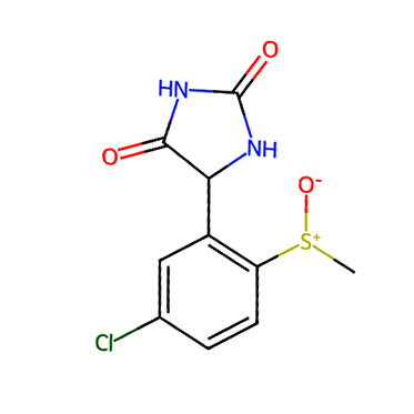 C[S+]([O-])c1ccc(Cl)cc1C1NC(=O)NC1=O